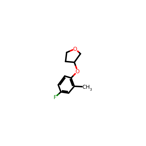 Cc1cc(F)ccc1OC1CCOC1